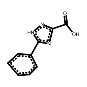 O=C(O)c1n[nH]c(-c2ccccc2)n1